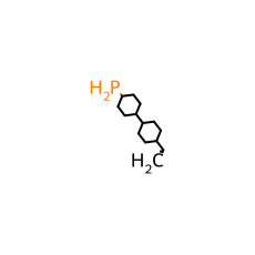 C=CC1CCC(C2CCC(P)CC2)CC1